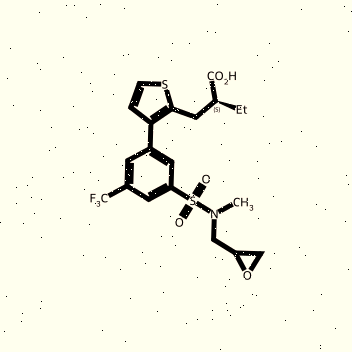 CC[C@@H](Cc1sccc1-c1cc(C(F)(F)F)cc(S(=O)(=O)N(C)CC2CO2)c1)C(=O)O